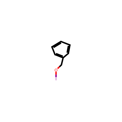 IOCc1ccccc1